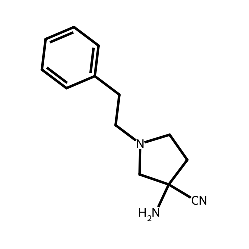 N#CC1(N)CCN(CCc2ccccc2)C1